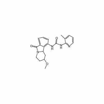 COC1CCN2C(=O)c3cccc(NC(=O)Nc4ncccc4C)c3C2C1